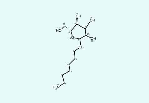 NCCCCCCO[C@H]1O[C@H](CO)[C@@H](O)C(O)C1O